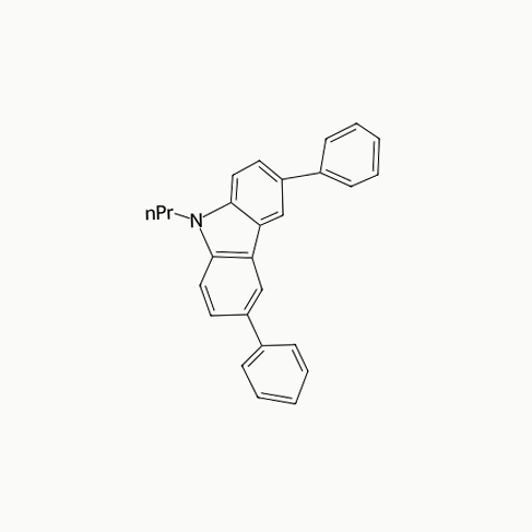 CCCn1c2ccc(-c3ccccc3)cc2c2cc(-c3ccccc3)ccc21